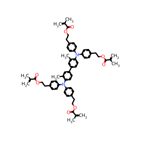 C=C(C)C(=O)OCCc1ccc(N(c2ccc(CCOC(=O)C(=C)C)cc2)c2ccc(-c3ccc(N(c4ccc(CCOC(=O)C(=C)C)cc4)c4ccc(CCOC(=O)C(=C)C)cc4)c(C)c3)cc2C)cc1